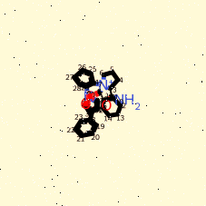 NC(=O)[C@@H]1CCC[N+]1(C(=O)[C@@H]1CCCC[C@@H]1C(=O)c1ccccc1)c1ccccc1-n1cccc1